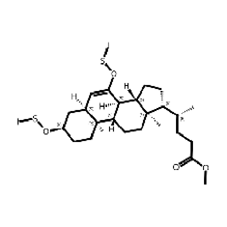 COC(=O)CC[C@@H](C)[C@H]1CC[C@H]2[C@@H]3C(OSI)=C[C@@H]4C[C@H](OSI)CC[C@]4(C)[C@H]3CC[C@]12C